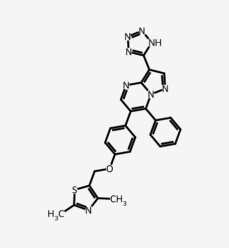 Cc1nc(C)c(COc2ccc(-c3cnc4c(-c5nnn[nH]5)cnn4c3-c3ccccc3)cc2)s1